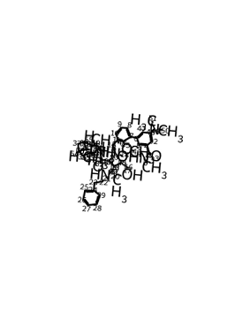 CNC(=O)c1cc(-c2cccc(CN3O[C@@H](CO)[C@@H]([C@H](C)NCCc4ccccc4)[C@H]3C(=O)N[C@H]3C[C@H]4C[C@@H]([C@@H]3C)C4(C)C)c2OC)cc(N(C)C)c1